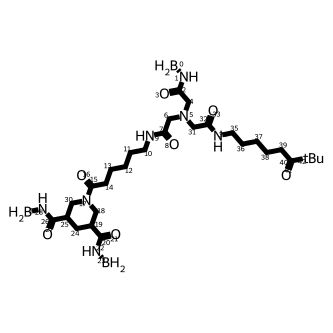 BNC(=O)CN(CC(=O)NCCCCCC(=O)N1CC(C(=O)NB)CC(C(=O)NB)C1)CC(=O)NCCCCCC(=O)C(C)(C)C